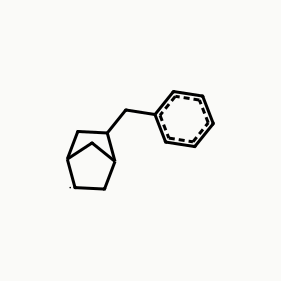 [CH]1CC2CC1CC2Cc1ccccc1